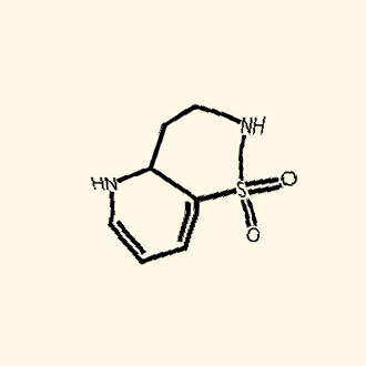 O=S1(=O)NCCC2NC=CC=C21